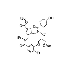 CCc1ccc(C(=O)N(C[C@@H]2CN(C(=O)OC(C)(C)C)C[C@H]2CN(C(=O)[C@H]2CC[C@@H](O)CC2)C2CC2)C(C)C)cc1OCCCOC